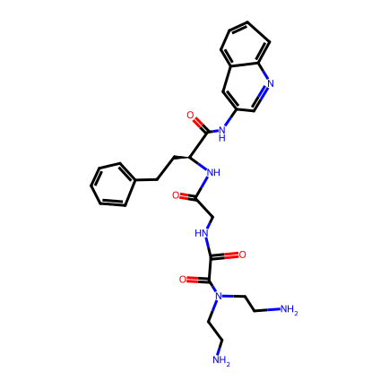 NCCN(CCN)C(=O)C(=O)NCC(=O)N[C@@H](CCc1ccccc1)C(=O)Nc1cnc2ccccc2c1